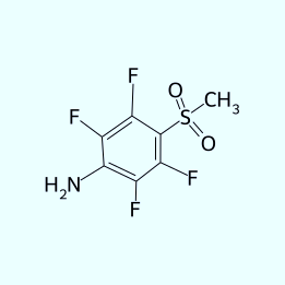 CS(=O)(=O)c1c(F)c(F)c(N)c(F)c1F